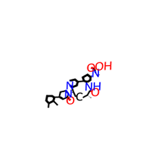 Cc1cccc(C2=CC(=O)N([C@H]3CCC[C@@H](C)C(=O)Nc4cc(N(C)C(=O)O)ccc4-c4ccnc3c4)CC2)c1C